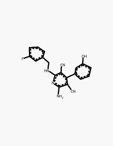 N#Cc1c(N)nc(NCc2cccc(F)c2)c(C#N)c1-c1cccc(O)c1